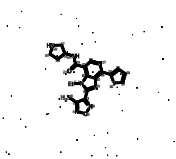 CCn1c(-c2nonc2N)nc2c(-c3cccs3)ncc(C(=O)NC3CCNC3)c21